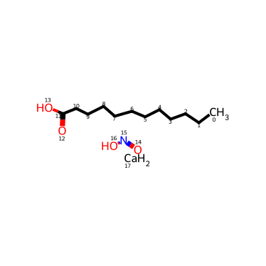 CCCCCCCCCCCC(=O)O.O=NO.[CaH2]